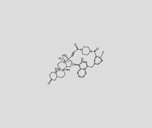 C[C@]12CCC(=O)CC1CC[C@@H]1C2CC[C@@]2(C)C1CC[C@@]2(O)C#CC(=O)N1CCN(C(=O)c2cc(Cc3n[nH]c(=O)c4ccccc34)ccc2F)CC1